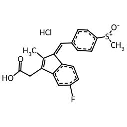 CC1=C(CC(=O)O)c2cc(F)ccc2/C1=C\c1ccc([S+](C)[O-])cc1.Cl